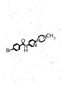 CN1CCN(c2ccc(NC(=O)c3ccc(Br)cc3)cn2)CC1